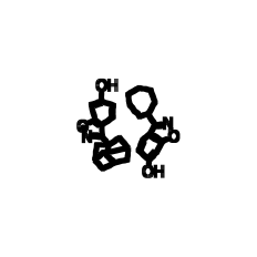 Oc1ccc2c(C34CC5CC(CC(C5)C3)C4)noc2c1.Oc1ccc2c(C3CCCCCC3)noc2c1